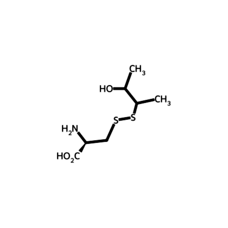 CC(O)C(C)SSC[C@H](N)C(=O)O